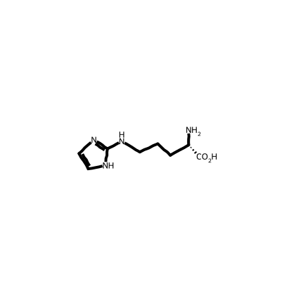 N[C@@H](CCCNc1ncc[nH]1)C(=O)O